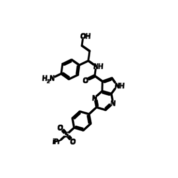 CC(C)S(=O)(=O)c1ccc(-c2cnc3[nH]cc(C(=O)NC(CCO)c4ccc(N)cc4)c3n2)cc1